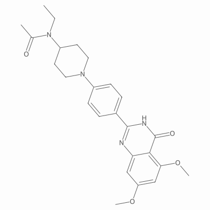 CCN(C(C)=O)C1CCN(c2ccc(-c3nc4cc(OC)cc(OC)c4c(=O)[nH]3)cc2)CC1